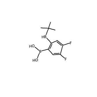 CC(C)(C)Bc1cc(F)c(F)cc1B(O)O